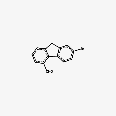 O=Cc1cccc2c1-c1ccc(Br)cc1C2